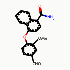 COc1cc(C=O)ccc1Oc1ccc(C(N)=O)c2ccccc12